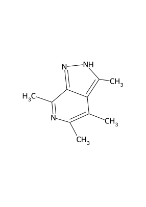 Cc1nc(C)c2n[nH]c(C)c2c1C